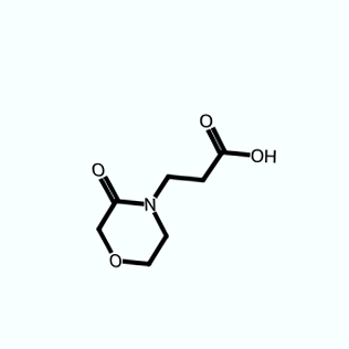 O=C(O)CCN1CCOCC1=O